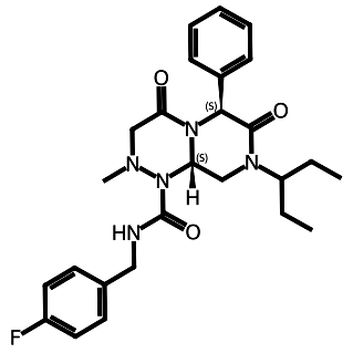 CCC(CC)N1C[C@H]2N(C(=O)CN(C)N2C(=O)NCc2ccc(F)cc2)[C@@H](c2ccccc2)C1=O